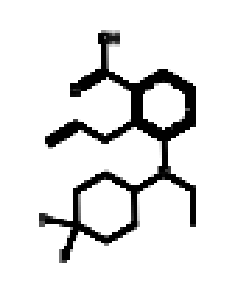 C=CCc1c(C(=O)O)cccc1N(CC)C1CCC(F)(F)CC1